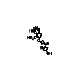 O=C(O)c1c(OC2CN(C(=O)[C@@H]3C[C@@H](O)CN3)C2)ccc2c1O[B-](O)(O)[C@@H]1CC21